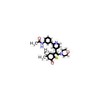 CC(=O)Nc1cccc(-c2cc(-c3c(N4CCOCC4)sc4c3CC(C)(C)CC4=O)ccn2)c1